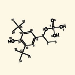 CCC(OP(=O)(O)O)c1cc(C(C)(C)C)c(O)c(C(C)(C)C)c1